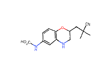 CC(C)(C#N)CC1CNc2cc(NC(=O)O)ccc2O1